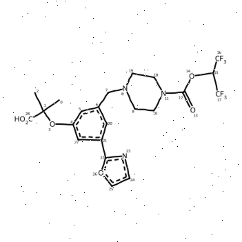 CC(C)(Oc1cc(CN2CCN(C(=O)OC(C(F)(F)F)C(F)(F)F)CC2)cc(-c2ncco2)c1)C(=O)O